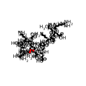 CC(C)C[C@H](NC(=O)[C@@H](N)CCCNC(=N)N)C(=O)N[C@@H](CCC(=O)O)C(=O)N[C@@H](CO)C(=O)N[C@@H](CCCCN)C(=O)N[C@@H](CC(=O)O)C(=O)NCC(=O)N[C@@H](CCC(=O)O)C(=O)N[C@H](C(=O)N[C@@H](CCCNC(=N)N)C(=O)N[C@@H](CC(=O)O)C(=O)N[C@@H](CCC(=O)O)C(=O)N[C@@H](CCCCN)C(=O)N[C@@H](CC(=O)O)C(=O)N[C@@H](CCCNC(=N)N)C(=O)O)C(C)C